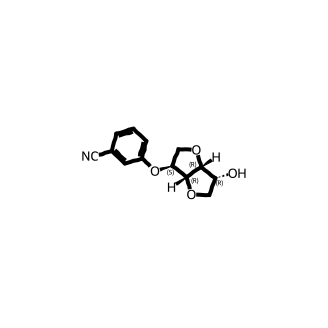 N#Cc1cccc(O[C@H]2CO[C@H]3[C@@H]2OC[C@H]3O)c1